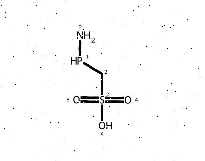 NPCS(=O)(=O)O